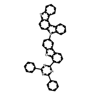 c1ccc(-c2nc(-c3ccccc3)nc(-c3cccc4c3oc3ccc(-n5c6ccccc6c6c7c(ccc65)sc5ccccc57)cc34)n2)cc1